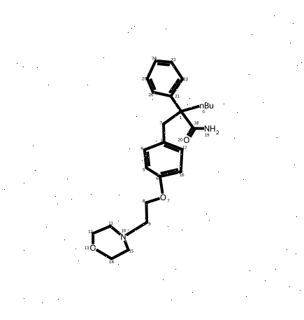 CCCCC(Cc1ccc(OCCN2CCOCC2)cc1)(C(N)=O)c1ccccc1